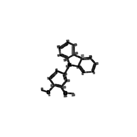 COc1ccc(-n2c3ccccc3c3ccccc32)cc1OC